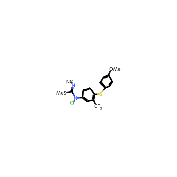 COc1ccc(Sc2ccc(N(Cl)C(=NC#N)SC)cc2C(F)(F)F)cc1